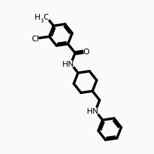 Cc1ccc(C(=O)NC2CCC(CNc3ccccc3)CC2)cc1Cl